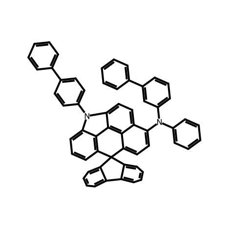 c1ccc(-c2ccc(-n3c4cccc5c4c4c6c(ccc(N(c7ccccc7)c7cccc(-c8ccccc8)c7)c6ccc43)C53c4ccccc4-c4ccccc43)cc2)cc1